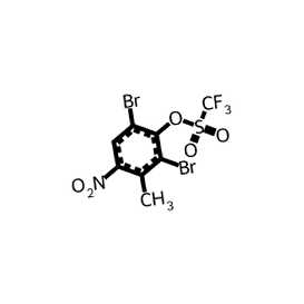 Cc1c([N+](=O)[O-])cc(Br)c(OS(=O)(=O)C(F)(F)F)c1Br